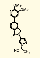 COc1cc(-c2ccc3c(c2)CN(c2cnn([C@H](C)C#N)c2)C3=O)cnc1OC